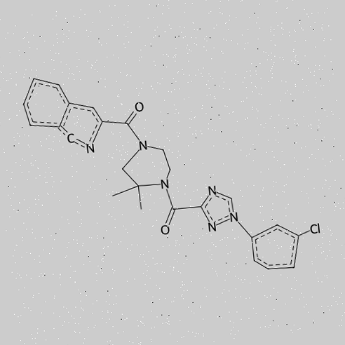 CC1(C)CN(C(=O)c2cc3ccccc3cn2)CCN1C(=O)c1ncn(-c2cccc(Cl)c2)n1